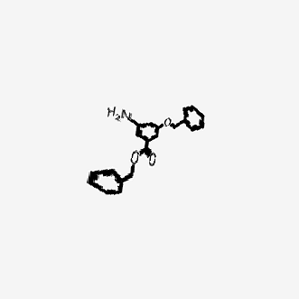 Nc1cc(OCc2ccccc2)cc(C(=O)OCc2ccccc2)c1